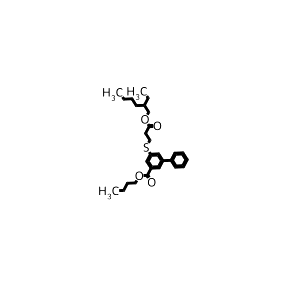 CCCCOC(=O)c1cc(SCCC(=O)OCC(CC)CCCC)cc(-c2ccccc2)c1